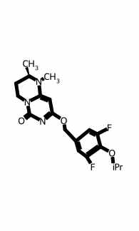 CC(C)Oc1c(F)cc(COc2cc3n(c(=O)n2)CC[C@@H](C)N3C)cc1F